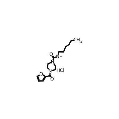 CCCCCCNC(=O)N1CCN(C(=O)c2ccco2)CC1.Cl